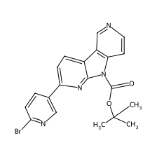 CC(C)(C)OC(=O)n1c2ccncc2c2ccc(-c3ccc(Br)nc3)nc21